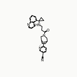 C[C@H]1CC2CN(C(=O)CCNC3(c4cccc5ncccc45)CC3)CC1N2c1ccc(C#N)cn1